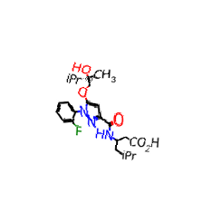 CC(C)CC(CC(=O)O)NC(=O)c1cc(OC[C@](C)(O)C(C)C)n(-c2ccccc2F)n1